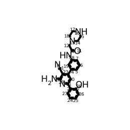 N#Cc1c(-c2cccc(NC(=O)CN3CCNCC3)c2)cc(-c2ccccc2O)nc1N